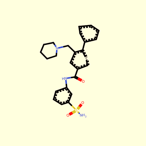 NS(=O)(=O)c1cccc(NC(=O)c2ccc(-c3ccccc3)c(CN3CCCCC3)c2)c1